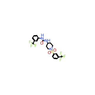 O=C(Nc1cccc(C(F)(F)F)c1)NC1CCN(S(=O)(=O)c2cccc(C(F)(F)F)c2)CC1